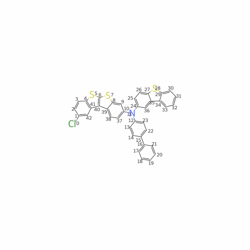 Clc1ccc2sc3sc4cc(N(c5ccc(-c6ccccc6)cc5)c5ccc6sc7ccccc7c6c5)ccc4c3c2c1